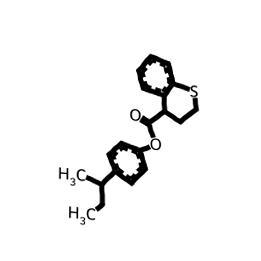 CCC(C)c1ccc(OC(=O)C2CCSc3ccccc32)cc1